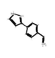 C=Cc1ccc(-c2cc[nH]n2)cc1